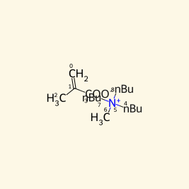 C=C(C)C(=O)[O-].CCCC[N+](C)(CCCC)CCCC